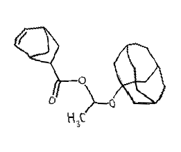 CC(OC(=O)C1CC2C=CC1C2)OC12CC3CC(CC(C3)C1)C2